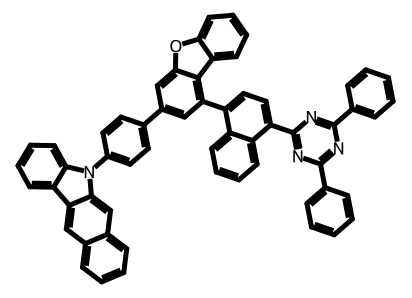 c1ccc(-c2nc(-c3ccccc3)nc(-c3ccc(-c4cc(-c5ccc(-n6c7ccccc7c7cc8ccccc8cc76)cc5)cc5oc6ccccc6c45)c4ccccc34)n2)cc1